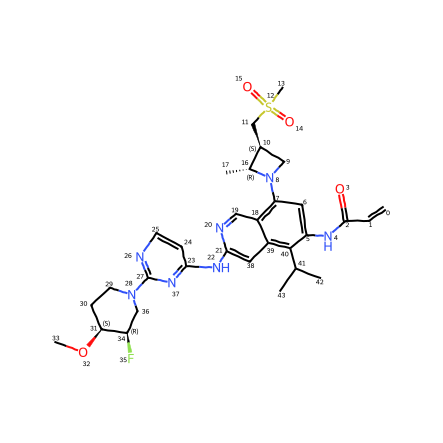 C=CC(=O)Nc1cc(N2C[C@H](CS(C)(=O)=O)[C@H]2C)c2cnc(Nc3ccnc(N4CC[C@H](OC)[C@H](F)C4)n3)cc2c1C(C)C